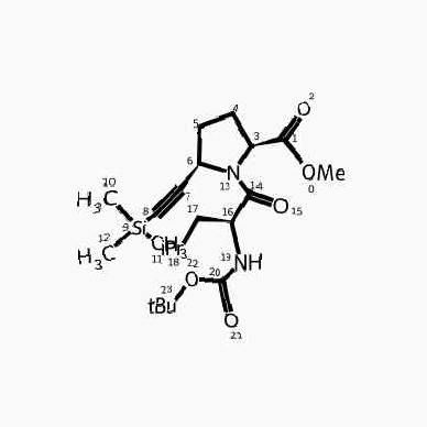 COC(=O)[C@@H]1CC[C@H](C#C[Si](C)(C)C)N1C(=O)[C@H](CC(C)C)NC(=O)OC(C)(C)C